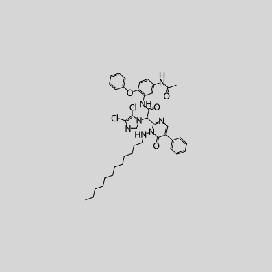 CCCCCCCCCCCCNn1c(C(C(=O)Nc2cc(NC(C)=O)ccc2Oc2ccccc2)n2cnc(Cl)c2Cl)ncc(-c2ccccc2)c1=O